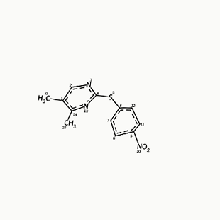 Cc1cnc(Sc2ccc([N+](=O)[O-])cc2)nc1C